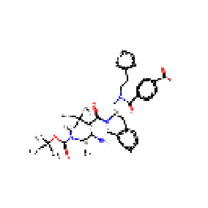 C[C@@H](C(N)[C@@H](C(=O)N1Cc2ccccc2C[C@H]1CN(CCc1ccccc1)C(=O)c1ccc(C(=O)O)cc1)C(C)(C)C)N(C)C(=O)OC(C)(C)C